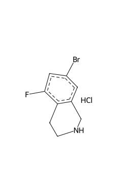 Cl.Fc1cc(Br)cc2c1CCNC2